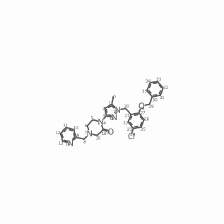 Cc1cc(N2CCN(Cc3ccccn3)CC2=O)nn1Cc1cc(Cl)ccc1OCc1ccccc1